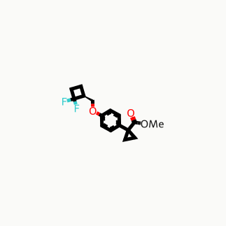 COC(=O)C1(c2ccc(OC[C@@H]3CCC3(F)F)cc2)CC1